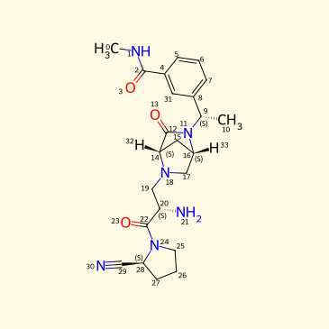 CNC(=O)c1cccc([C@H](C)N2C(=O)[C@@H]3C[C@H]2CN3C[C@H](N)C(=O)N2CCC[C@H]2C#N)c1